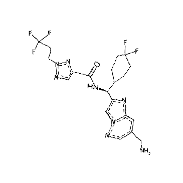 NCc1cnn2cc([C@@H](NC(=O)c3cnn(CCC(F)(F)F)n3)C3CCC(F)(F)CC3)nc2c1